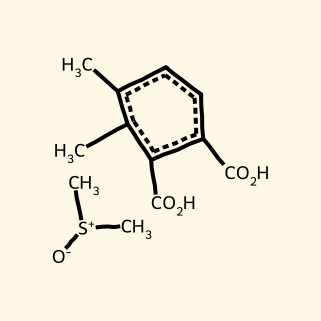 C[S+](C)[O-].Cc1ccc(C(=O)O)c(C(=O)O)c1C